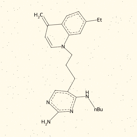 C=C1C=CN(CCCc2cnc(N)nc2NCCCC)c2cc(CC)ccc21